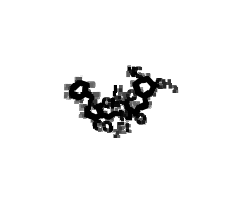 C=C1C=C(C#N)C=C2O[C@H](C)[C@H](NCCC3=C(O)N(Cc4ccccc4)C=C=C3C(=O)OCC)C(=O)/C=C/C2=C1